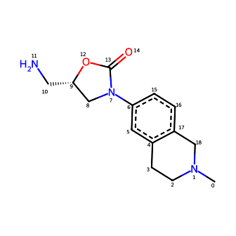 CN1CCc2cc(N3C[C@H](CN)OC3=O)ccc2C1